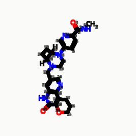 CNC(=O)c1ccc(N2CCN(Cc3cnc4c5c(c(=O)[nH]c4c3)OCCC5)[C@@H]3CC[C@@H]32)cn1